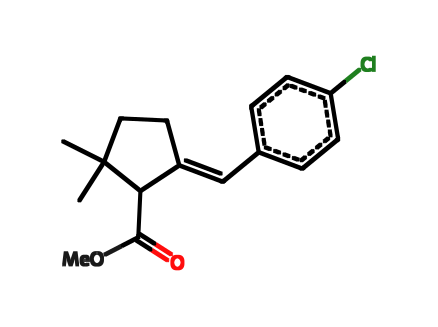 COC(=O)C1C(=Cc2ccc(Cl)cc2)CCC1(C)C